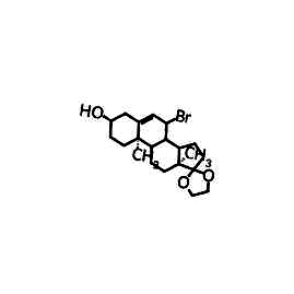 C[C@]12CC[C@@H](O)CC1=CC(Br)C1C2CC[C@@]2(C)C1CCC21OCCO1